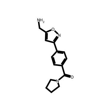 NCc1cc(-c2ccc(C(=O)N3CCCC3)cc2)no1